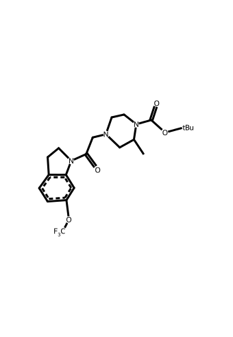 CC1CN(CC(=O)N2CCc3ccc(OC(F)(F)F)cc32)CCN1C(=O)OC(C)(C)C